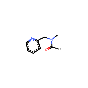 [CH2]CC(=O)N(C)Cc1ccccn1